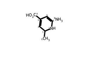 CC1C=C(C(=O)O)C=CN1.N